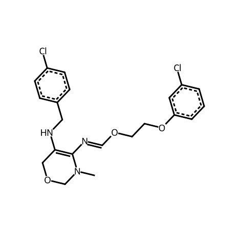 CN1COCC(NCc2ccc(Cl)cc2)=C1/N=C/OCCOc1cccc(Cl)c1